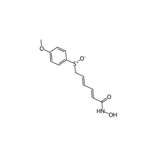 COc1ccc([S+]([O-])CC=CC=CC(=O)NO)cc1